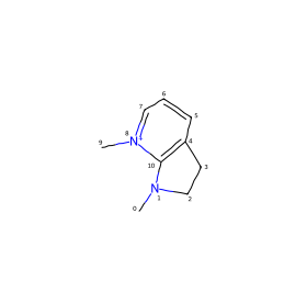 CN1CCc2ccc[n+](C)c21